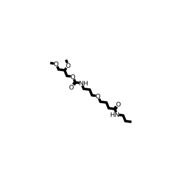 CCCNC(=O)CCCOCCCNC(=O)OCC(COC)OC